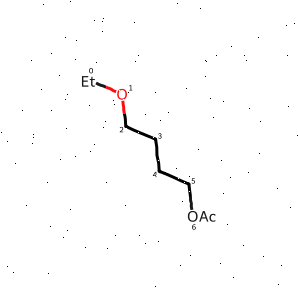 [CH2]COCCCCOC(C)=O